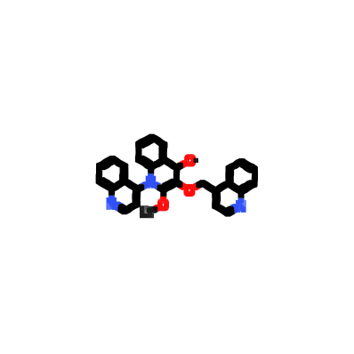 CCOC1=C(OCc2ccnc3ccccc23)C([O])c2ccccc2N1c1ccnc2ccccc12